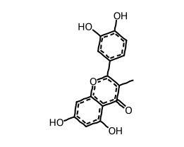 Cc1c(-c2ccc(O)c(O)c2)oc2cc(O)cc(O)c2c1=O